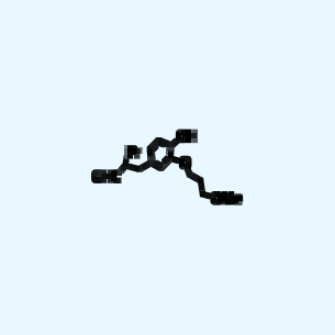 COCCCOc1cc(CC(C=O)C(C)C)ccc1O